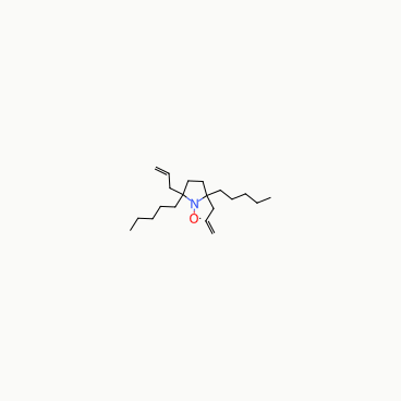 C=CCC1(CCCCC)CCC(CC=C)(CCCCC)N1[O]